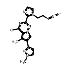 Cc1c(-c2ccn(C)n2)cn2nc(-c3nccn3CCN=[N+]=[N-])nc(Cl)c12